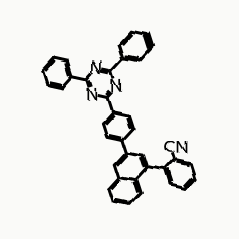 N#Cc1ccccc1-c1cc(-c2ccc(-c3nc(-c4cc#ccc4)nc(-c4ccccc4)n3)cc2)cc2ccccc12